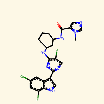 Cn1cncc1C(=O)NC1CCC[C@H](Nc2nc(-c3c[nH]c4c(F)cc(Cl)cc34)ncc2F)C1